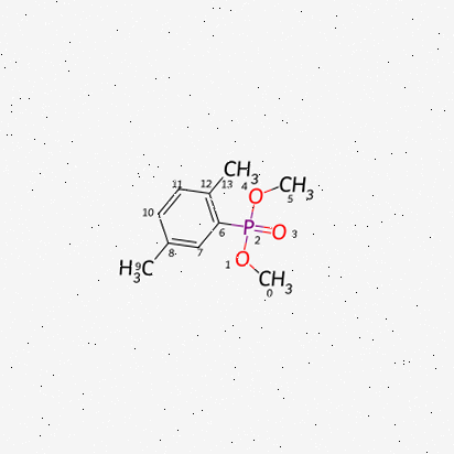 COP(=O)(OC)c1cc(C)ccc1C